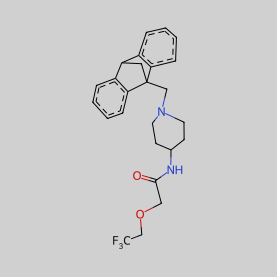 O=C(COCC(F)(F)F)NC1CCN(CC23CC(c4ccccc42)c2ccccc23)CC1